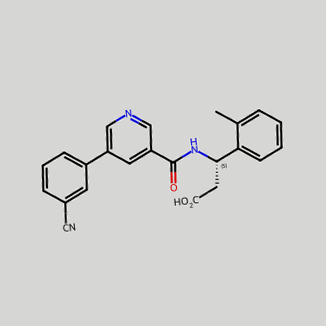 Cc1ccccc1[C@H](CC(=O)O)NC(=O)c1cncc(-c2cccc(C#N)c2)c1